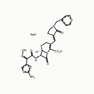 Nc1nc(/C(=N/O)C(=O)N[C@@H]2C(=O)N3C(C(=O)O)=C(/C=C4\CCN(Cc5ccncc5)C4=O)CS[C@H]23)cs1.[NaH]